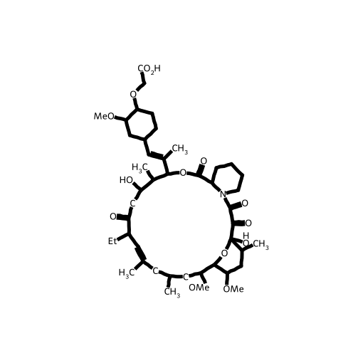 CCC1/C=C(\C)CC(C)CC(OC)C2OC(O)(C(=O)C(=O)N3CCCCC3C(=O)OC(C(C)=CC3CCC(OCC(=O)O)C(OC)C3)C(C)C(O)CC1=O)C(C)CC2OC